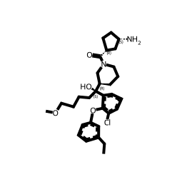 CCc1cccc(Oc2c(Cl)cccc2[C@](O)(CCCCOC)[C@@H]2CCCN(C(=O)[C@@H]3CC[C@H](N)C3)C2)c1